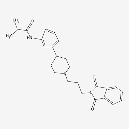 CC(C)C(=O)Nc1cccc(C2CCN(CCCN3C(=O)c4ccccc4C3=O)CC2)c1